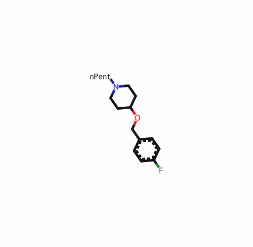 CCCCCN1CCC(OCc2ccc(F)cc2)CC1